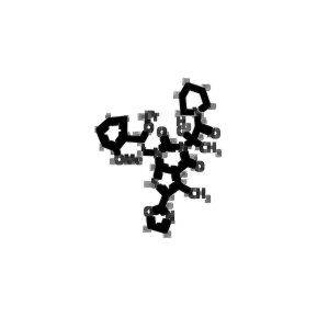 COc1ccccc1[C@@H](Cn1c(=O)n(C(C)(C)C(=O)N2CCCCC2)c(=O)c2c(C)c(-c3ncco3)sc21)OC(C)C